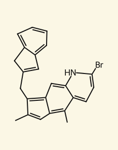 Cc1cc2c(C)c3ccc(Br)[nH]c3cc2c1CC1=Cc2ccccc2C1